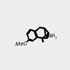 COc1ccc2c(c1)C1(C)C=CC(C2)C1N